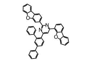 c1ccc(-c2ccc(-c3cc(-c4cccc5c4oc4ccccc45)nc(-c4ccc5c(c4)oc4ccccc45)n3)c(-c3ccccc3)c2)cc1